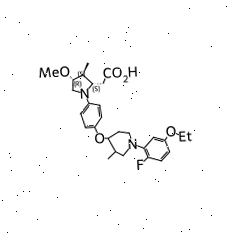 CCOc1ccc(F)c(N2CCC(Oc3ccc(N4C[C@H](OC)[C@@H](C)[C@@H]4CC(=O)O)cc3)C(C)C2)c1